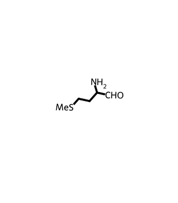 CSCCC(N)C=O